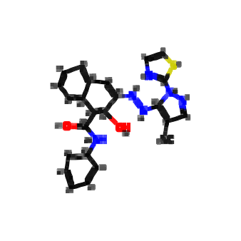 [C-]#[N+]c1cnn(-c2nccs2)c1/N=N/c1cc2ccccc2c(C(=O)Nc2ccccc2)c1O